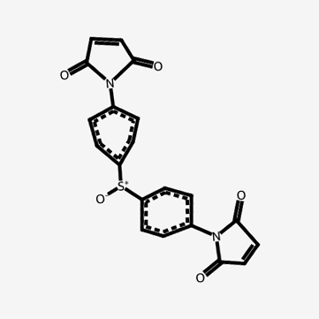 O=C1C=CC(=O)N1c1ccc([S+]([O-])c2ccc(N3C(=O)C=CC3=O)cc2)cc1